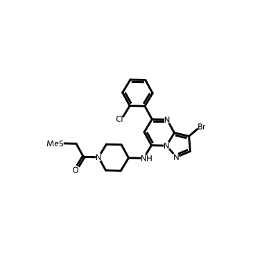 CSCC(=O)N1CCC(Nc2cc(-c3ccccc3Cl)nc3c(Br)cnn23)CC1